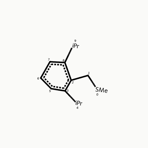 CSCc1c(C(C)C)cccc1C(C)C